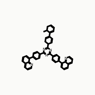 CC1CC=CC=C1C1=CCC(c2nc(-c3ccc(-c4cccc5cccnc45)cc3)nc(-c3ccc(-c4cccc5cccnc45)cc3)n2)C=C1